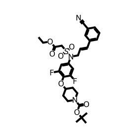 CCOC(=O)CS(=O)(=O)N(C/C=C/c1cccc(C#N)c1)c1cc(F)c(OC2CCN(C(=O)OC(C)(C)C)CC2)c(F)c1